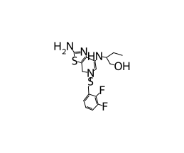 CCC(CO)NC1=CN(SCc2cccc(F)c2F)Cc2sc(N)nc21